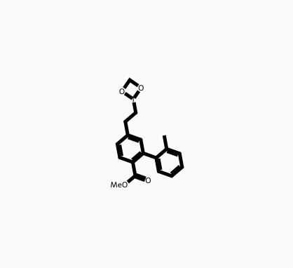 COC(=O)c1ccc(CCI2OCO2)cc1-c1ccccc1C